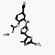 Br.Cc1nc(N)sc1-c1csc(Nc2cc(C#N)ccc2OC(C)C)n1